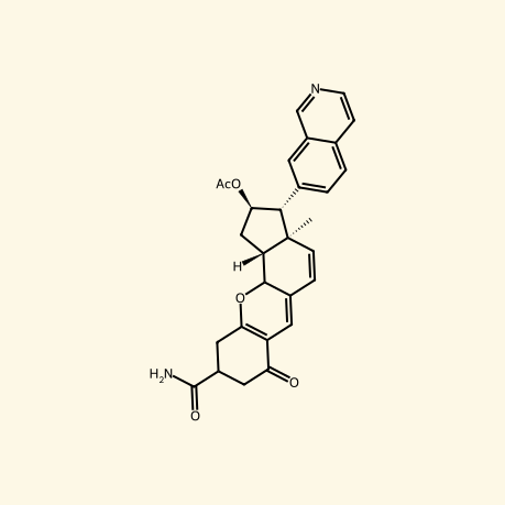 CC(=O)O[C@@H]1C[C@H]2C3OC4=C(C=C3C=C[C@]2(C)[C@H]1c1ccc2ccncc2c1)C(=O)CC(C(N)=O)C4